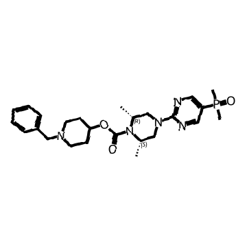 C[C@@H]1CN(c2ncc(P(C)(C)=O)cn2)C[C@H](C)N1C(=O)OC1CCN(Cc2ccccc2)CC1